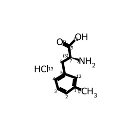 Cc1cccc(C[C@H](N)C(=O)O)c1.Cl